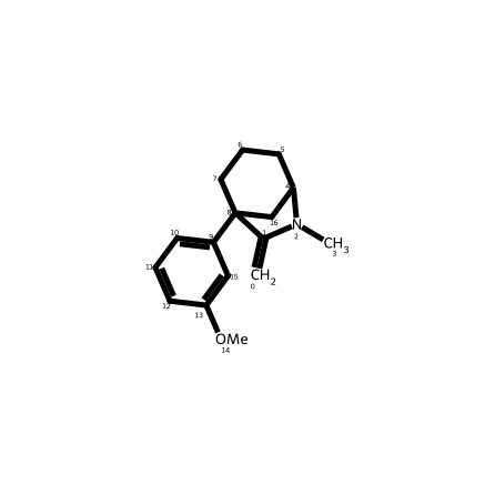 C=C1N(C)C2CCCC1(c1cccc(OC)c1)C2